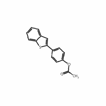 CC(=O)Oc1ccc(-c2cc3ccccc3s2)cc1